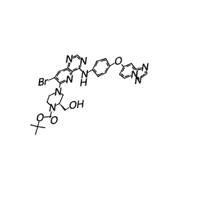 CC(C)(C)OC(=O)N1CCN(c2nc3c(Nc4ccc(Oc5ccn6ncnc6c5)cc4)ncnc3cc2Br)C[C@H]1CO